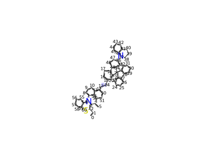 C=CC1=C(C=C)N(c2cccc3c(/C=C/c4ccc5c(c4)C4(c6ccccc6-c6ccccc64)c4cc(N6CCCc7ccccc76)ccc4-5)cccc23)c2ccccc2S1